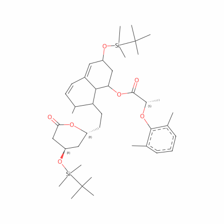 Cc1cccc(C)c1O[C@@H](C)C(=O)OC1CC(O[Si](C)(C)C(C)(C)C)C=C2C=CC(C)C(CC[C@@H]3C[C@@H](O[Si](C)(C)C(C)(C)C)CC(=O)O3)C21